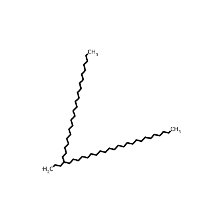 [CH2]CCC(CCCCCCCCCCCCCCCCCCCCCCCC)CCCCCCCCCCCCCCCCCCCCCCCC